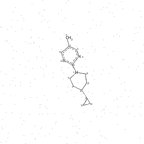 Cc1cnc(N2CCC(C3CC3)CC2)nc1